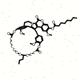 CCCCCCCC(=O)Oc1cc2oc(=O)c3c(c4c5n3CCc3cc(c(OC)cc3-5)OC(=O)CCCCCCC(CCC)CCCC(=O)Oc3ccc-4cc3OC)c2cc1OC